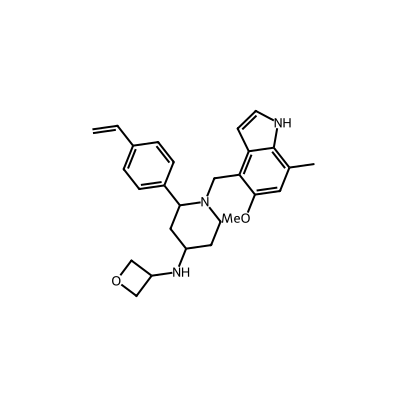 C=Cc1ccc(C2CC(NC3COC3)CCN2Cc2c(OC)cc(C)c3[nH]ccc23)cc1